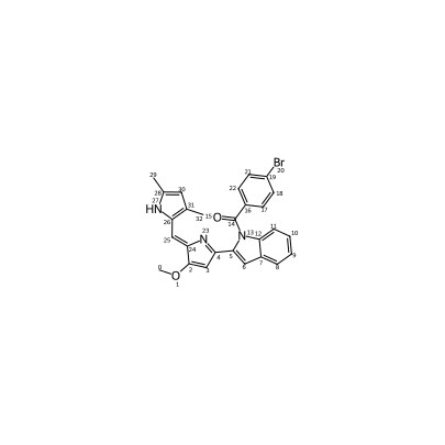 COC1=CC(c2cc3ccccc3n2C(=O)c2ccc(Br)cc2)=NC1=Cc1[nH]c(C)cc1C